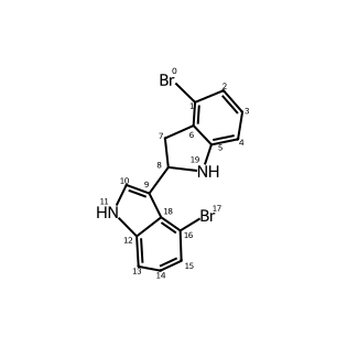 Brc1cccc2c1CC(c1c[nH]c3cccc(Br)c13)N2